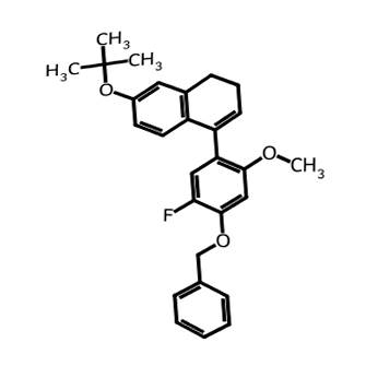 COc1cc(OCc2ccccc2)c(F)cc1C1=CCCc2cc(OC(C)(C)C)ccc21